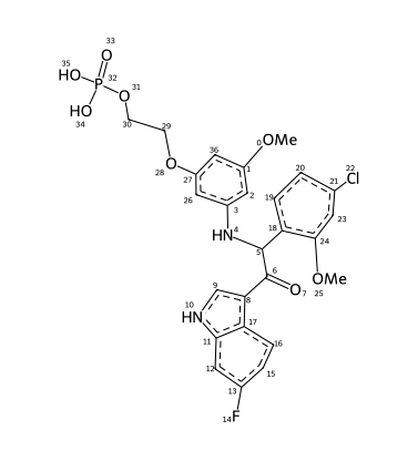 COc1cc(NC(C(=O)c2c[nH]c3cc(F)ccc23)c2ccc(Cl)cc2OC)cc(OCCOP(=O)(O)O)c1